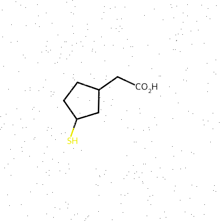 O=C(O)CC1CCC(S)C1